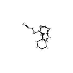 O=[C]CSc1ncnc2sc3c(c12)CCCC3